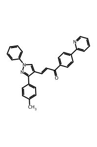 Cc1ccc(-c2nn(-c3ccccc3)cc2/C=C/C(=O)c2ccc(-c3ccccn3)cc2)cc1